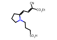 CCOC(=O)/C(C#N)=C/C=C1/CCCN1CCCS(=O)(=O)O